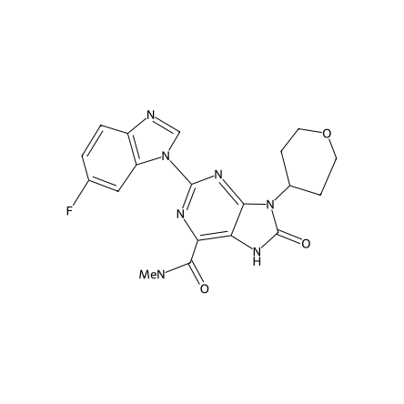 CNC(=O)c1nc(-n2cnc3ccc(F)cc32)nc2c1[nH]c(=O)n2C1CCOCC1